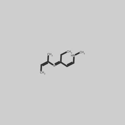 C\C=C(C)/N=C(/C=C\NC)CC